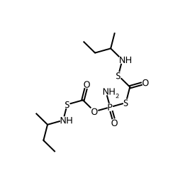 CCC(C)NSC(=O)OP(N)(=O)SC(=O)SNC(C)CC